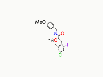 COc1ccc(CN2C[C@H](C)OC(Cc3c(C)cc(Cl)cc3I)C2=O)cc1